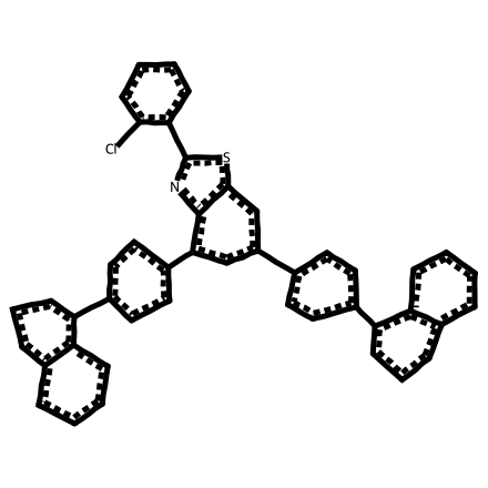 Clc1ccccc1-c1nc2c(-c3ccc(-c4cccc5ccccc45)cc3)cc(-c3ccc(-c4cccc5ccccc45)cc3)cc2s1